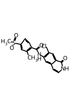 Cc1cc(S(C)(=O)=O)ccc1C(=O)Nc1cc2cc[nH]c(=O)c2cc1Cl